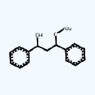 CCCCOC(CC(O)c1ccccc1)c1ccccc1